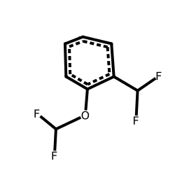 FC(F)Oc1cc[c]cc1C(F)F